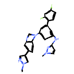 Cn1cc(-c2ccc3c(c2)ncn3-c2cc(Nc3ccn(C)n3)cc(-c3ccc(F)cc3F)c2)cn1